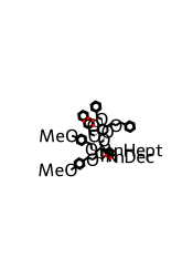 CCCCCCCCCCCCCC[C@@H](OCc1ccc(OC)cc1)[C@@H](OCc1ccc(OC)cc1)[C@H](CO[C@H]1OC(COCc2ccccc2)[C@H](OCc2ccccc2)[C@H](OCc2ccccc2)[C@H]1OCc1ccccc1)n1cc(CCCCCCC)nn1